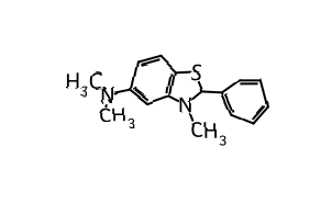 CN(C)c1ccc2c(c1)N(C)C(c1ccccc1)S2